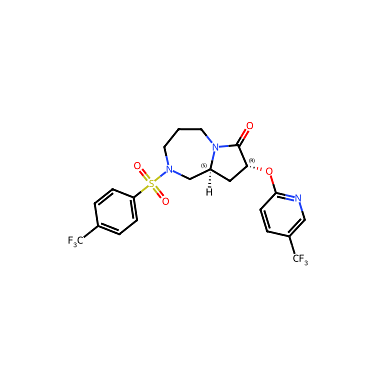 O=C1[C@H](Oc2ccc(C(F)(F)F)cn2)C[C@H]2CN(S(=O)(=O)c3ccc(C(F)(F)F)cc3)CCCN12